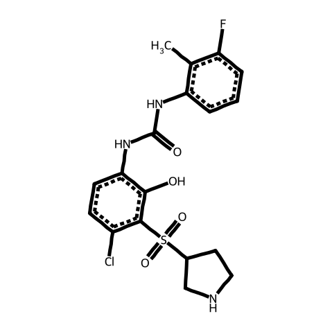 Cc1c(F)cccc1NC(=O)Nc1ccc(Cl)c(S(=O)(=O)C2CCNC2)c1O